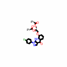 CC(C)C(=O)OC[C@H](COc1cccc(C(=O)c2cnn(-c3ccc(F)cc3)c2N)c1)OC(=O)C(C)C